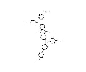 Cc1c2ccc(N(c3ccc(C(C)(C)C)cc3)c3ccc(C(C)(C)C)cc3)cc2c(C)c2ccc(N(c3ccc(-c4ccc(C(C)(C)C)cc4)cc3)c3ccc(C(C)(C)C)cc3)cc12